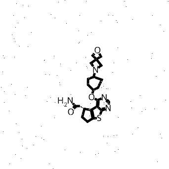 NC(=O)C[C@H]1CCc2sc3ncnc(OC4CCC(N5CC6(COC6)C5)CC4)c3c21